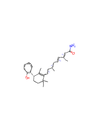 CC1=C(/C=C/C(C)=C/C=C/C(C)=C/C(N)=O)C(C)(C)CCC1c1ccccc1O